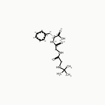 CC(C)(C)NCC(=O)NCC(=O)N[C@H](Cc1ccccc1)C(=O)O